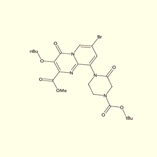 CCCCOc1c(C(=O)OC)nc2c(N3CCN(C(=O)OC(C)(C)C)CC3=O)cc(Br)cn2c1=O